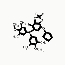 COc1c(C)cc(P(c2cc(C)c(OC)c(C)c2)c2cc(Oc3ccccc3)c3c(c2I)OC(F)(F)O3)cc1C